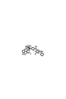 Nc1c(N=Nc2ccc(Nc3nc(F)nc(Nc4ccccc4)n3)cc2)c(S(=O)(=O)O)cc2cccc(O)c12